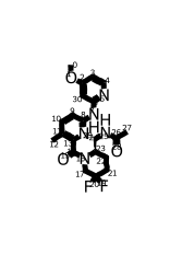 COc1ccnc(Nc2ccc(C)c(C(=O)N3CC(F)(F)CC[C@@H]3CNC(C)=O)n2)c1